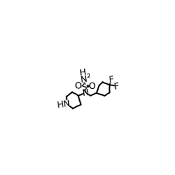 NS(=O)(=O)N(CC1CCC(F)(F)CC1)C1CCNCC1